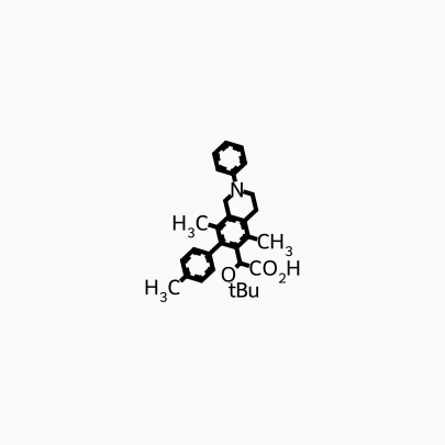 Cc1ccc(-c2c(C)c3c(c(C)c2C(OC(C)(C)C)C(=O)O)CCN(c2ccccc2)C3)cc1